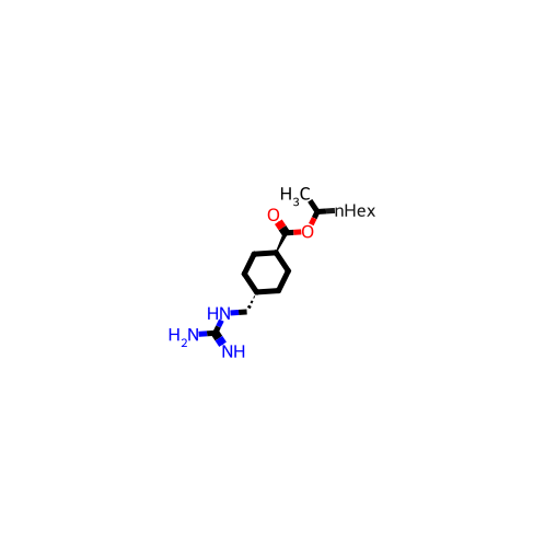 CCCCCCC(C)OC(=O)[C@H]1CC[C@H](CNC(=N)N)CC1